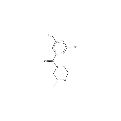 C[C@@H]1CN(C(=O)c2cc(Br)cc(C(F)(F)F)c2)C[C@H](C)O1